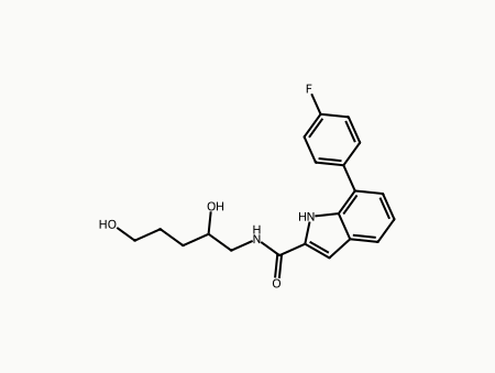 O=C(NCC(O)CCCO)c1cc2cccc(-c3ccc(F)cc3)c2[nH]1